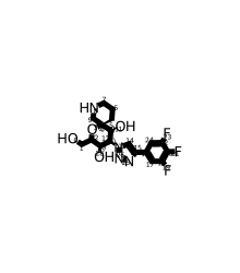 OCC1O[C@@]2(CCCNC2)[C@H](O)[C@@H](n2cc(-c3cc(F)c(F)c(F)c3)nn2)[C@H]1O